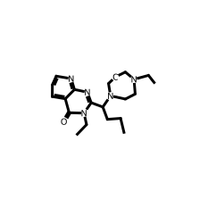 CCCC(c1nc2ncccc2c(=O)n1CC)N1CCCN(CC)CC1